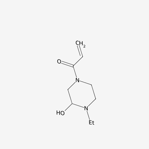 C=CC(=O)N1CCN(CC)C(O)C1